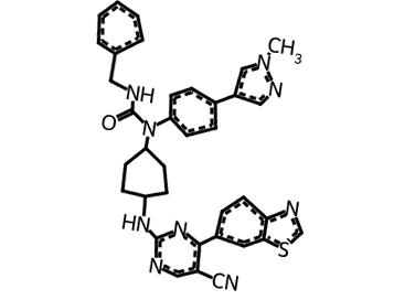 Cn1cc(-c2ccc(N(C(=O)NCc3ccccc3)C3CCC(Nc4ncc(C#N)c(-c5ccc6ncsc6c5)n4)CC3)cc2)cn1